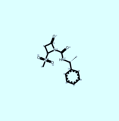 C[C@@H](NC(=O)N1C(=O)CC1S(C)(=O)=O)c1ccccc1